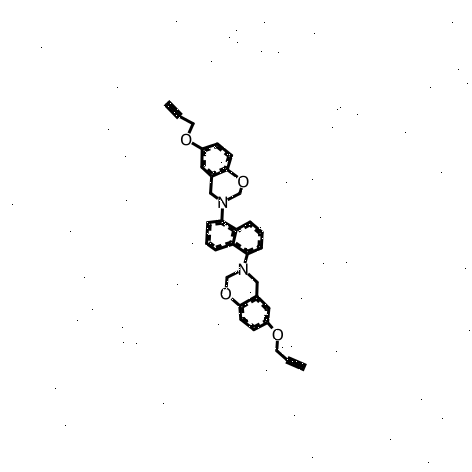 C#CCOc1ccc2c(c1)CN(c1cccc3c(N4COc5ccc(OCC#C)cc5C4)cccc13)CO2